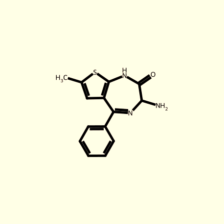 Cc1cc2c(s1)NC(=O)C(N)N=C2c1ccccc1